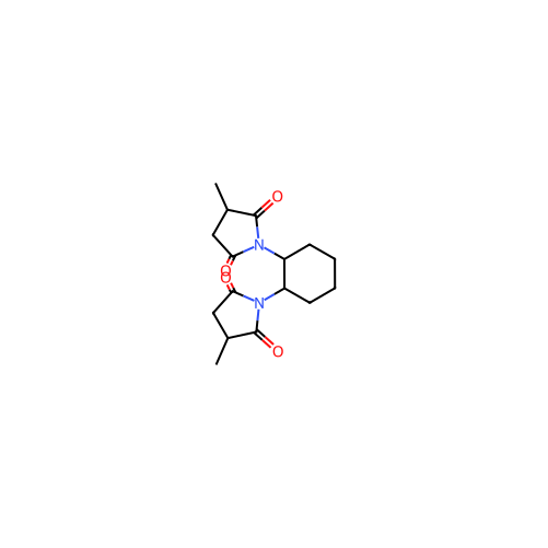 CC1CC(=O)N(C2CCCCC2N2C(=O)CC(C)C2=O)C1=O